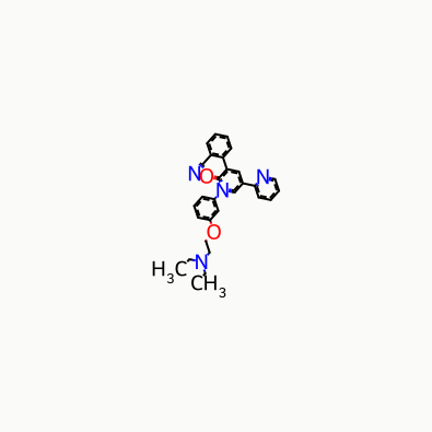 CCN(CC)CCOc1cccc(-n2cc(-c3ccccn3)cc(-c3ccccc3C#N)c2=O)c1